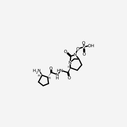 N[C@@H]1CCC[C@H]1C(=O)NNC(=O)[C@@H]1CCC2CN1C(=O)N2OS(=O)(=O)O